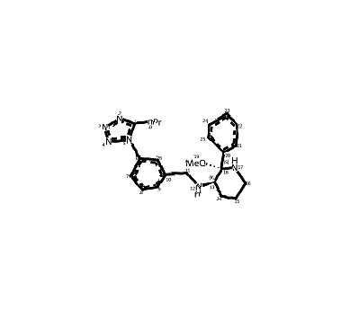 CCCc1nnnn1-c1cccc(CN[C@@H]2CCCN[C@]2(OC)c2ccccc2)c1